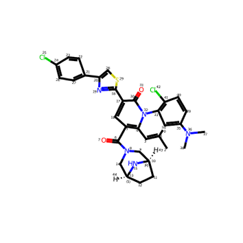 CC(C)=Cc1c(C(=O)N2C[C@H]3CC[C@@H](C2)N3)cc(-c2nc(-c3ccc(Cl)cc3)cs2)c(=O)n1-c1cc(N(C)C)ccc1Cl